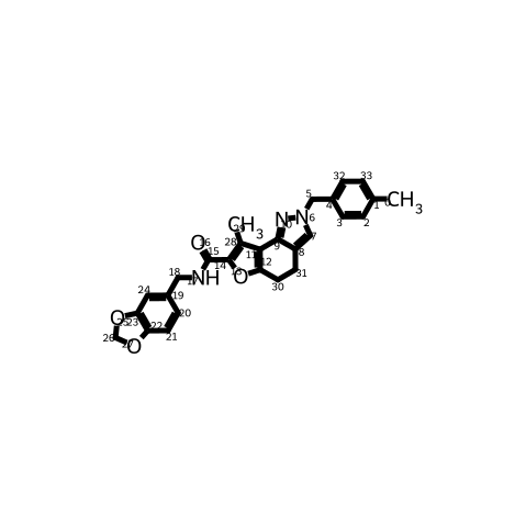 Cc1ccc(Cn2cc3c(n2)-c2c(oc(C(=O)NCc4ccc5c(c4)OCO5)c2C)CC3)cc1